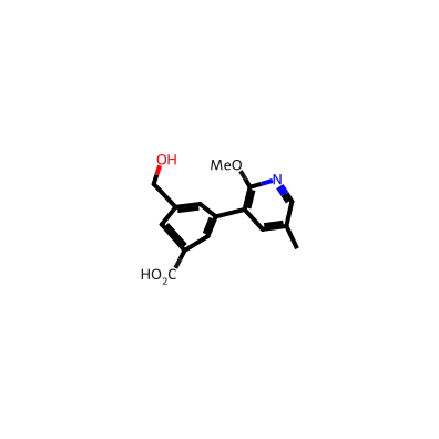 COc1ncc(C)cc1-c1cc(CO)cc(C(=O)O)c1